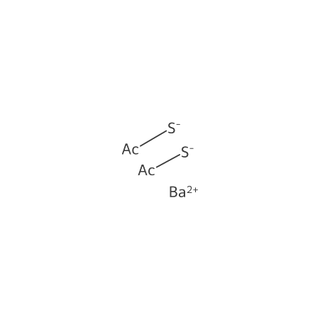 CC(=O)[S-].CC(=O)[S-].[Ba+2]